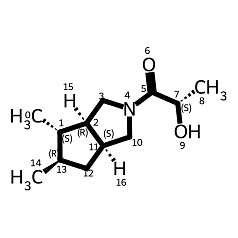 C[C@@H]1[C@H]2CN(C(=O)[C@H](C)O)C[C@H]2C[C@H]1C